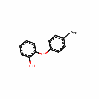 CCCC(C)c1ccc(Oc2ccccc2O)cc1